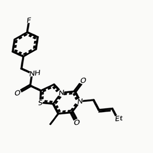 CC/C=C/Cn1c(=O)c(C)c2sc(C(=O)NCc3ccc(F)cc3)cn2c1=O